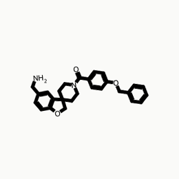 NCc1ccc2c(c1)C1(CCN(C(=O)c3ccc(OCc4ccccc4)cc3)CC1)CO2